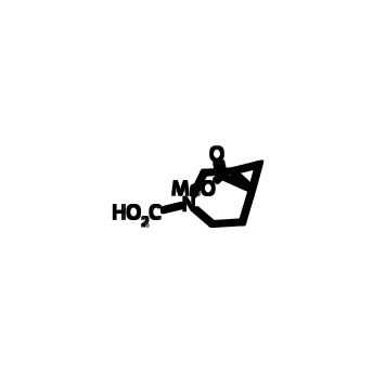 COC(=O)C12CCN(C(=O)O)CC1C2